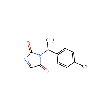 N#Cc1ccc(C(C(=O)O)N2C(=O)C=NC2=O)cc1